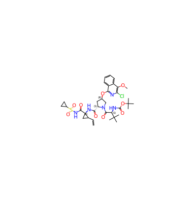 C=CC1C[C@]1(NC(=O)[C@@H]1C[C@@H](Oc2nc(Cl)c(OC)c3ccccc23)CN1C(=O)[C@@H](NC(=O)OC(C)(C)C)C(C)(C)C)C(=O)NS(=O)(=O)C1CC1